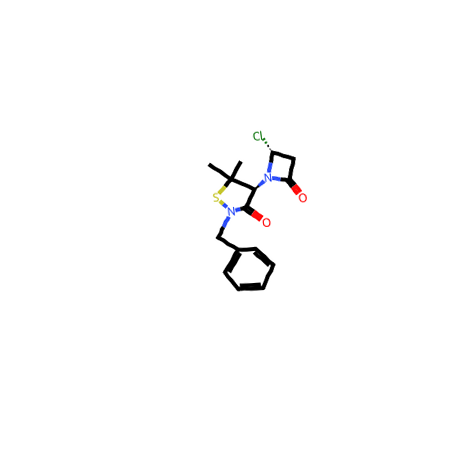 CC1(C)SN(Cc2ccccc2)C(=O)[C@@H]1N1C(=O)C[C@H]1Cl